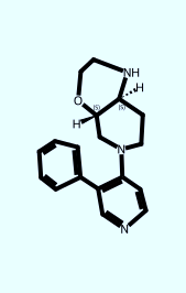 c1ccc(-c2cnccc2N2CC[C@@H]3NCCO[C@H]3C2)cc1